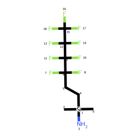 C[Si](C)(N)CCC(F)(F)C(F)(F)C(F)(F)C(F)(F)F